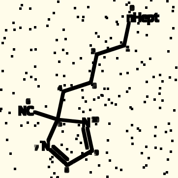 CCCCCCCCCCCC1(C#N)N=CC=N1